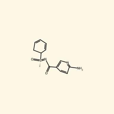 C[S@@](=O)(=NC(=O)c1ccc(N)nc1)C1C=CC=CC1